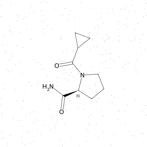 NC(=O)[C@@H]1CCCN1C(=O)C1CC1